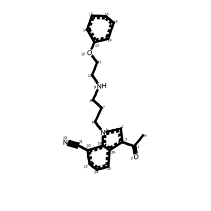 CC(=O)c1cn(CCCNCCOc2ccccc2)c2c(C#N)cccc12